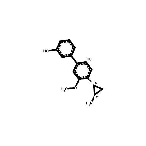 COc1cc(-c2cccc(O)c2)ccc1[C@@H]1C[C@H]1N.Cl